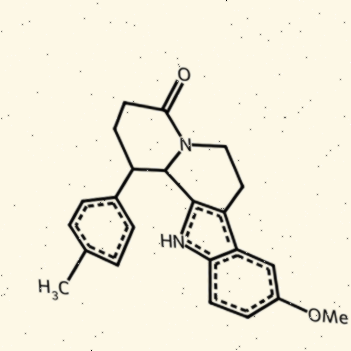 COc1ccc2[nH]c3c(c2c1)CCN1C(=O)CCC(c2ccc(C)cc2)C31